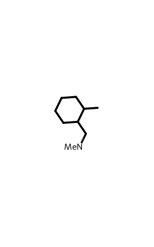 CNCC1CCCCC1C